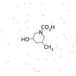 CC1CC(O)CN(C(=O)O)C1